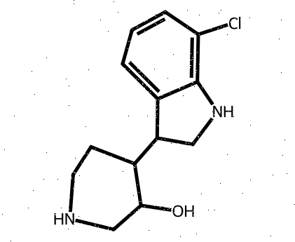 OC1CNCCC1C1CNc2c(Cl)cccc21